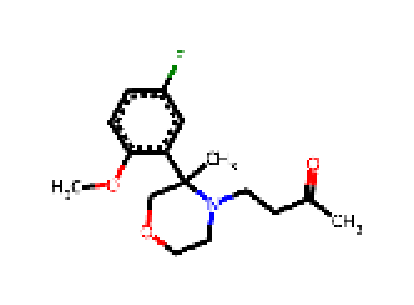 COc1ccc(F)cc1C1(C)COCCN1CCC(C)=O